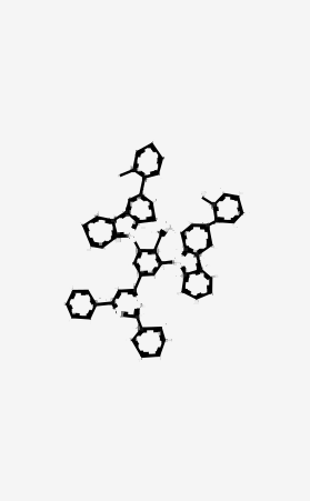 Cc1ccccc1-c1ccc2c(c1)c1ccccc1n2-c1cc(-c2cc(-c3ccccc3)nc(-c3ccccc3)n2)cc(-n2c3ccccc3c3cc(-c4ccccc4C)ccc32)c1C#N